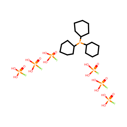 C1CCC(P(C2CCCCC2)C2CCCCC2)CC1.O=P(O)(O)F.O=P(O)(O)F.O=P(O)(O)F.O=P(O)(O)F.O=P(O)(O)F.O=P(O)(O)F